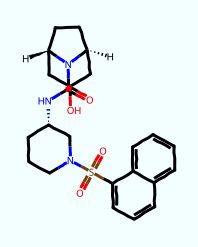 O=C(N[C@H]1CCCN(S(=O)(=O)c2cccc3ccccc23)C1)N1[C@H]2CC[C@H]1CC(O)C2